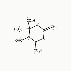 C=C1CC(C(=O)O)N(C=O)C(C(=O)O)(C(=O)O)C1